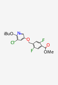 COC(=O)c1cc(F)c(COc2cnc(OCC(C)C)c(Cl)c2)cc1F